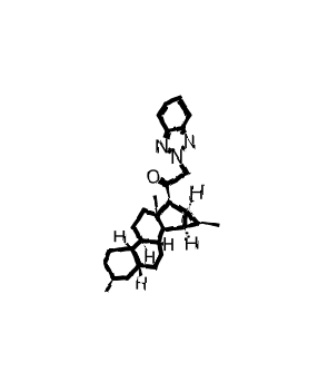 C[C@H]1CC[C@H]2[C@H](CC[C@H]3C4[C@@H]5[C@H](C)[C@@H]5[C@H](C(=O)Cn5nc6ccccc6n5)[C@@]4(C)CC[C@H]23)C1